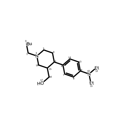 CCC(C)CN1CCC(c2ccc(N(CC)CC)cc2)C(CO)C1